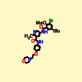 COc1c(Br)cc(C(C)(C)C)cc1C(=O)Nc1cnc(C)c(C(=O)Nc2ccc(OCCN3CCOCC3)cc2)c1